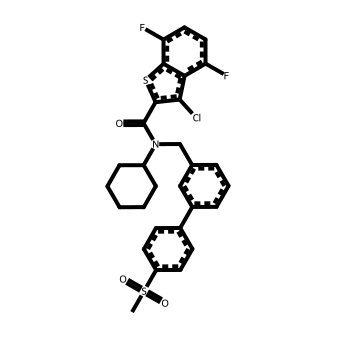 CS(=O)(=O)c1ccc(-c2cccc(CN(C(=O)c3sc4c(F)ccc(F)c4c3Cl)C3CCCCC3)c2)cc1